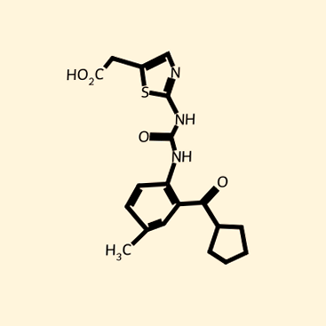 Cc1ccc(NC(=O)Nc2ncc(CC(=O)O)s2)c(C(=O)C2CCCC2)c1